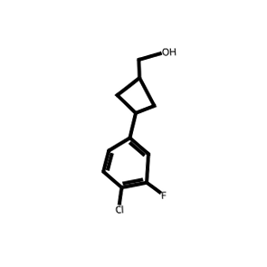 OCC1CC(c2ccc(Cl)c(F)c2)C1